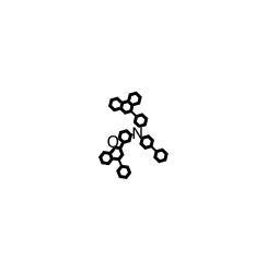 c1ccc(-c2ccc(N(c3cccc(-c4cc5ccccc5c5ccccc45)c3)c3ccc4oc5c6ccccc6c(-c6ccccc6)cc5c4c3)cc2)cc1